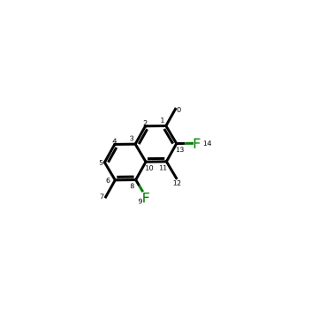 Cc1cc2ccc(C)c(F)c2c(C)c1F